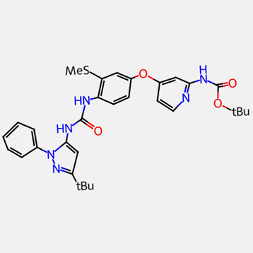 CSc1cc(Oc2ccnc(NC(=O)OC(C)(C)C)c2)ccc1NC(=O)Nc1cc(C(C)(C)C)nn1-c1ccccc1